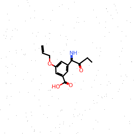 C=CCOc1cc(C(=N)C(=O)CC)cc(C(=O)O)c1